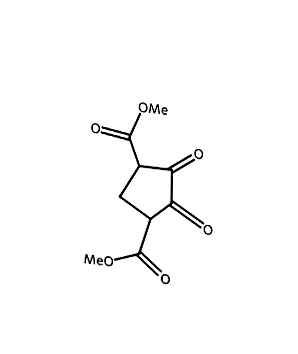 COC(=O)C1CC(C(=O)OC)C(=O)C1=O